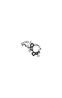 C[Si](C)(C)CCOCn1c(=O)c2nc3c(cc(C(=O)O)cc31)OCCCCCn1[nH]c3c-2cccc3c1=O